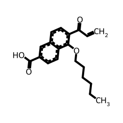 C=CC(=O)c1ccc2cc(C(=O)O)ccc2c1OCCCCCC